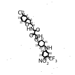 O=C(NCC1Cc2cc(Cl)ccc2O1)C(=O)NO[C@H]1CC[C@H](Nc2ccc([N+](=O)[O-])c(C(F)(F)F)c2)CC1